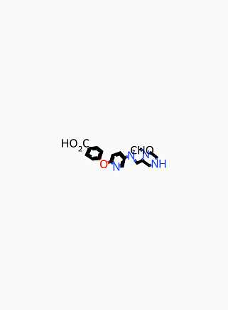 CN1CCNCC1CN(C=O)c1ccc(Oc2ccc(C(=O)O)cc2)nc1